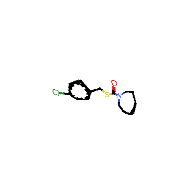 O=C(SCc1ccc(Cl)cc1)N1CCCCCC1